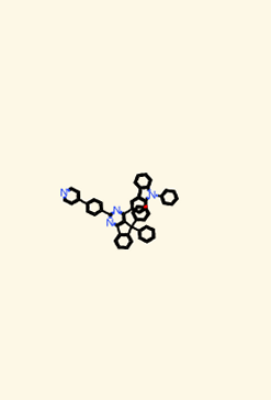 c1ccc(-n2c3ccccc3c3cc(-c4nc(-c5ccc(-c6ccncc6)cc5)nc5c4C(c4ccccc4)(c4ccccc4)c4ccccc4-5)ccc32)cc1